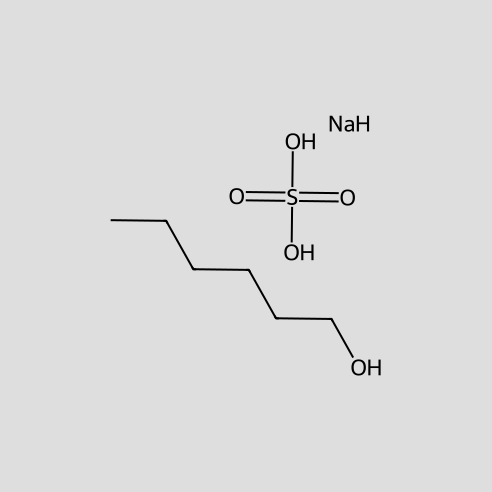 CCCCCCO.O=S(=O)(O)O.[NaH]